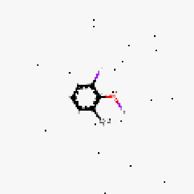 O=Cc1cccc(I)c1OI